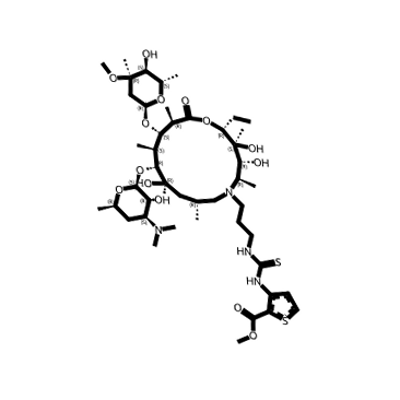 CC[C@H]1OC(=O)[C@H](C)[C@@H](O[C@H]2C[C@@](C)(OC)[C@@H](O)[C@H](C)O2)[C@H](C)[C@@H](O[C@@H]2O[C@H](C)C[C@H](N(C)C)[C@H]2O)[C@](C)(O)C[C@@H](C)CN(CCCNC(=S)Nc2ccsc2C(=O)OC)[C@H](C)[C@@H](O)[C@]1(C)O